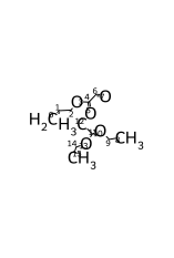 C=CCOC(=O)C=O.CCOC(C)OCC